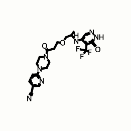 CC(COCCC(=O)N1CCN(c2ccc(C#N)cn2)CC1)Nc1cn[nH]c(=O)c1C(F)(F)F